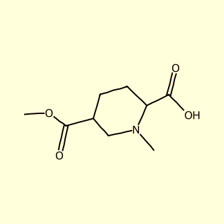 COC(=O)C1CCC(C(=O)O)N(C)C1